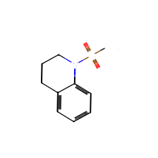 CS(=O)(=O)N1CC[CH]c2ccccc21